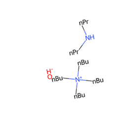 CCCC[N+](CCCC)(CCCC)CCCC.CCCNCCC.[OH-]